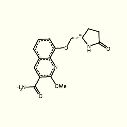 COc1nc2c(OC[C@@H]3CCC(=O)N3)cccc2cc1C(N)=O